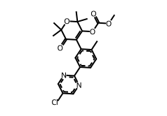 COC(=O)OC1=C(c2cc(-c3ncc(Cl)cn3)ccc2C)C(=O)C(C)(C)OC1(C)C